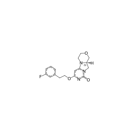 O=c1nc(OCCc2cccc(F)c2)cc2n1C[C@H]1COCCN21